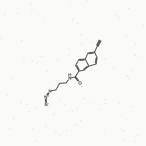 C#Cc1ccc2cc(C(=O)NCCCN=[N+]=[N-])ccc2c1